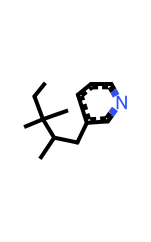 CCC(C)(C)C(C)Cc1cccnc1